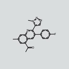 CC(=O)c1cc(C)cc2nc(-c3cnnn3C)c(-c3ccc(F)cc3)cc12